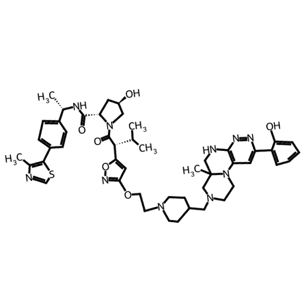 Cc1ncsc1-c1ccc([C@H](C)NC(=O)[C@@H]2C[C@@H](O)CN2C(=O)[C@@H](c2cc(OCCN3CCC(CN4CCN5c6cc(-c7ccccc7O)nnc6NCC5(C)C4)CC3)no2)C(C)C)cc1